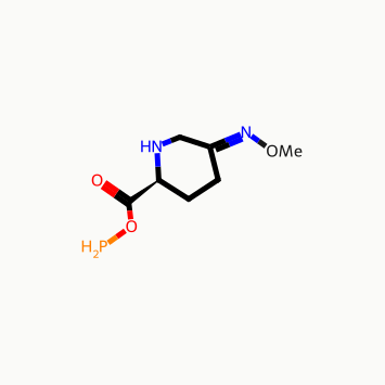 CON=C1CC[C@@H](C(=O)OP)NC1